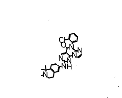 CN1CCc2cc(Nc3ncc4c(=O)n(-c5ccccc5Cl)c5nccn5c4n3)ccc2C1(C)C